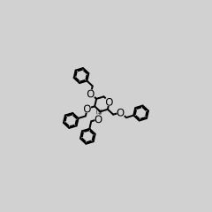 c1ccc(COCC2OCC(OCc3ccccc3)C(OCc3ccccc3)[C@H]2OCc2ccccc2)cc1